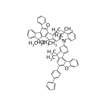 CC(C)(C)c1ccccc1N(c1ccc2c(c1)C(C)(C)c1cc(-c3ccc(-c4ccccc4)cc3)c3oc4ccccc4c3c1-2)c1ccc2c(c1)C(C)(C)c1c3c(c4c(oc5ccccc54)c1-2)-c1ccccc1C3(C)C